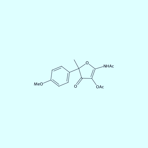 COc1ccc(C2(C)OC(NC(C)=O)=C(OC(C)=O)C2=O)cc1